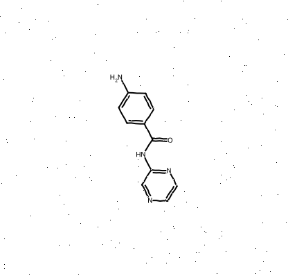 Nc1ccc(C(=O)Nc2cnccn2)cc1